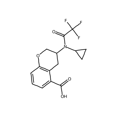 O=C(O)c1cccc2c1CC(N(C(=O)C(F)(F)F)C1CC1)CO2